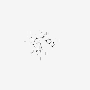 CC[C@H](C)[C@H](NC(=O)[C@H](CCC(=O)O)NC(=O)[C@@H](N)C(C)C)C(=O)N[C@@H](CC(=O)O)C(=O)Nc1ccc2c(C)cc(=O)oc2c1